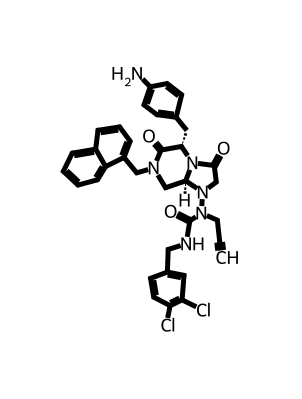 C#CCN(C(=O)NCc1ccc(Cl)c(Cl)c1)N1CC(=O)N2[C@@H](Cc3ccc(N)cc3)C(=O)N(Cc3cccc4ccccc34)C[C@@H]21